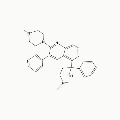 CN(C)CCC(O)(c1ccccc1)c1cccc2nc(N3CCN(C)CC3)c(-c3ccccc3)cc12